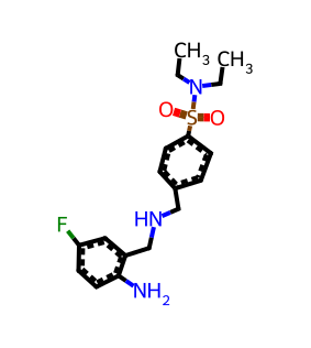 CCN(CC)S(=O)(=O)c1ccc(CNCc2cc(F)ccc2N)cc1